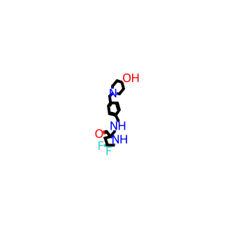 O=CC1(CNCc2ccc(CN3CCC(O)CC3)cc2)CC(F)(F)CN1